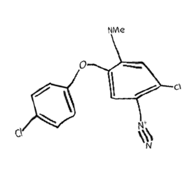 CNc1cc(Cl)c([N+]#N)cc1Oc1ccc(Cl)cc1